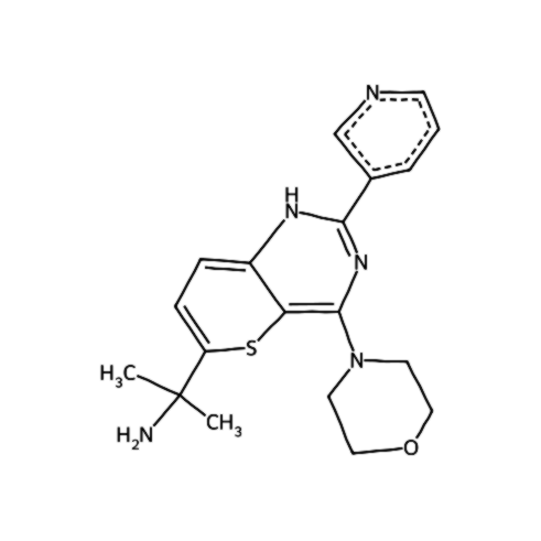 CC(C)(N)C1=CC=C2NC(c3cccnc3)=NC(N3CCOCC3)=C2S1